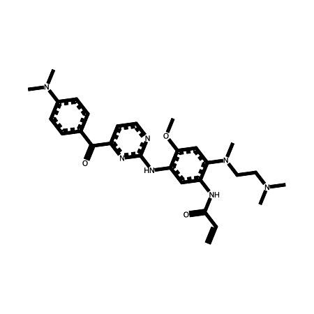 C=CC(=O)Nc1cc(Nc2nccc(C(=O)c3ccc(N(C)C)cc3)n2)c(OC)cc1N(C)CCN(C)C